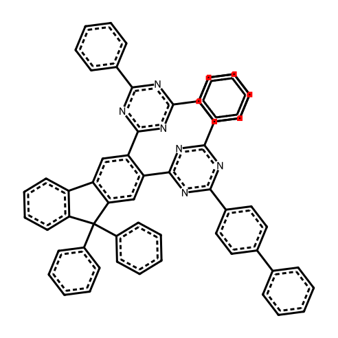 c1ccc(-c2ccc(-c3nc(-c4ccccc4)nc(-c4cc5c(cc4-c4nc(-c6ccccc6)nc(-c6ccccc6)n4)-c4ccccc4C5(c4ccccc4)c4ccccc4)n3)cc2)cc1